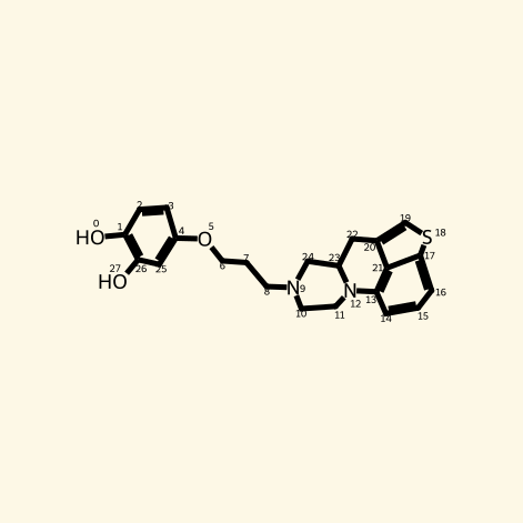 Oc1ccc(OCCCN2CCN3c4cccc5scc(c45)CC3C2)cc1O